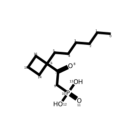 CCCCCCC1(C(=O)CP(=O)(O)O)CCC1